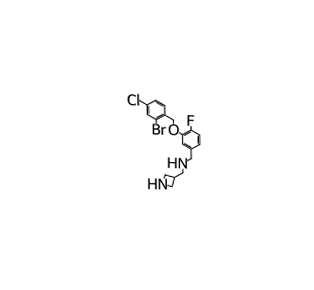 Fc1ccc(CNCC2CNC2)cc1OCc1ccc(Cl)cc1Br